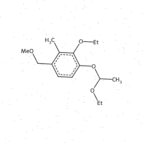 CCOc1c(OC(C)OCC)ccc(COC)c1C